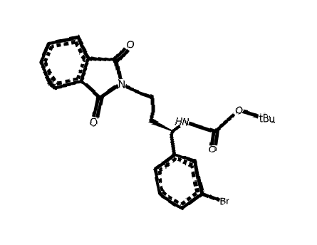 CC(C)(C)OC(=O)N[C@H](CCN1C(=O)c2ccccc2C1=O)c1cccc(Br)c1